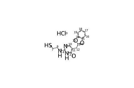 Cl.O=c1[nH]c(NCCS)ncc1CC1Oc2ccccc2O1